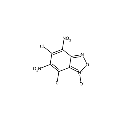 O=[N+]([O-])c1c(Cl)c([N+](=O)[O-])c2no[n+]([O-])c2c1Cl